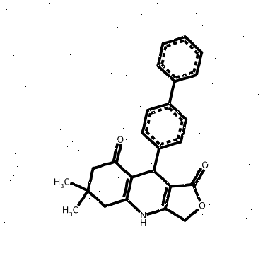 CC1(C)CC(=O)C2=C(C1)NC1=C(C(=O)OC1)C2c1ccc(-c2ccccc2)cc1